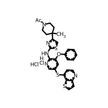 CC(=O)N1CCC(C)(c2csc(Nc3ncc(Sc4ccnc5ccsc45)cc3Oc3ccccc3)n2)CC1.Cl.Cl